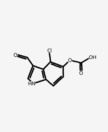 O=Cc1c[nH]c2ccc(OC(=O)O)c(Cl)c12